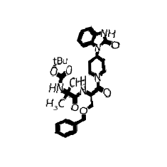 CC(C)(C)OC(=O)NC(C)(C)C(=O)N[C@H](COCc1ccccc1)C(=O)N1CCC(n2c(=O)[nH]c3ccccc32)CC1